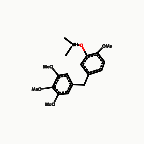 COc1ccc(Cc2cc(OC)c(OC)c(OC)c2)cc1O[SiH](C)C